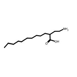 CCCCCCCCCCC(CCN)C(=O)O